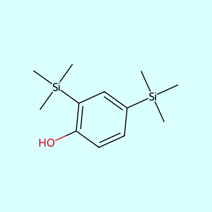 C[Si](C)(C)c1ccc(O)c([Si](C)(C)C)c1